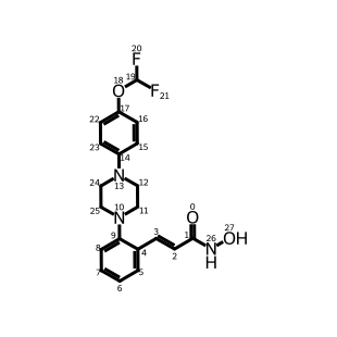 O=C(/C=C/c1ccccc1N1CCN(c2ccc(OC(F)F)cc2)CC1)NO